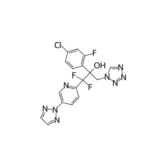 OC(Cn1cnnn1)(c1ccc(Cl)cc1F)C(F)(F)c1ccc(-n2nccn2)cn1